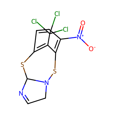 O=[N+]([O-])c1ccc2c(C(Cl)(Cl)Cl)c1SN1CC=NC1S2